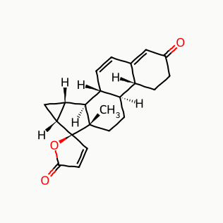 C[C@]12CC[C@H]3[C@@H](C=CC4=CC(=O)CC[C@@H]43)[C@@H]1[C@H]1C[C@H]1[C@@]21C=CC(=O)O1